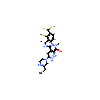 C[C@@H](Nc1nn(C)c(=O)c2c1C=C(N1CCNC(CC#N)C1)NN2)c1cccc(C(F)F)c1F